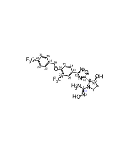 N/C(=N\O)N1CC[C@H](O)[C@H]1c1nc(-c2ccc(OCc3ccc(C(F)(F)F)cc3)c(C(F)(F)F)c2)no1